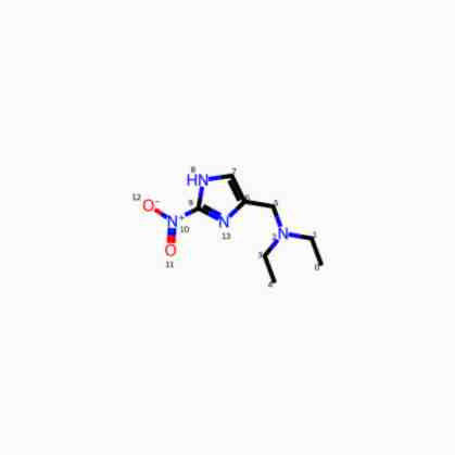 CCN(CC)Cc1c[nH]c([N+](=O)[O-])n1